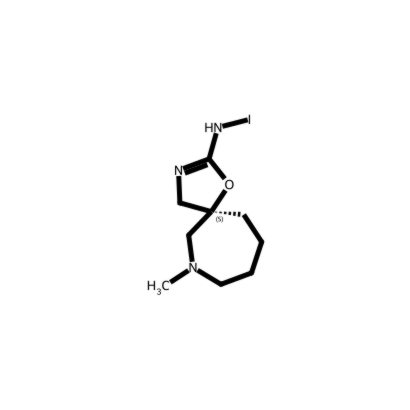 CN1CCCC[C@@]2(CN=C(NI)O2)C1